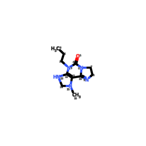 CCCN1C(=O)N2CCN=C2C2=C1NCN2C